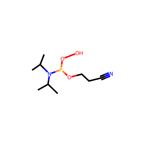 CC(C)N(C(C)C)P(OO)OCCC#N